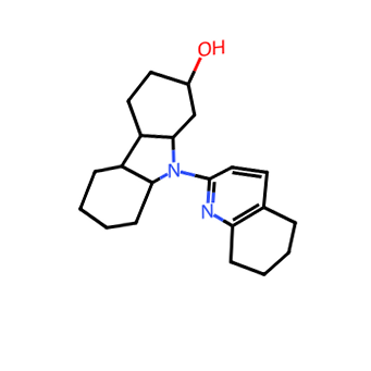 OC1CCC2C3CCCCC3N(c3ccc4c(n3)CCCC4)C2C1